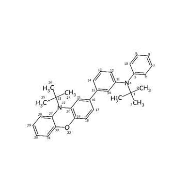 CC(C)(C)N(c1ccccc1)c1cccc(-c2ccc3c(c2)N(C(C)(C)C)c2ccccc2O3)c1